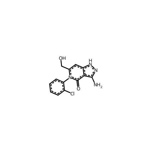 Nc1n[nH]c2cc(CO)n(-c3ccccc3Cl)c(=O)c12